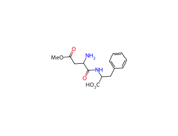 COC(=O)CC(N)C(=O)NC(Cc1ccccc1)C(=O)O